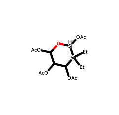 CC[Si]1(CC)C(OC(C)=O)C(OC(C)=O)C(OC(C)=O)O[SiH]1OC(C)=O